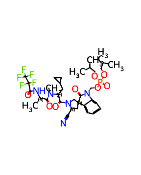 CC(C)COP(=O)(OCC(C)C)OCN1C(=O)[C@]2(C[C@@H](C#N)N(C(=O)[C@H](CC3CC3)N(C)C(=O)[C@H](C)NC(=O)C(F)(F)C(F)(F)F)C2)c2ccccc21